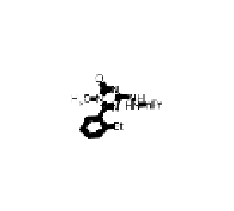 CCCNNc1nc(-c2ccccc2CC)n(C)c(=O)n1